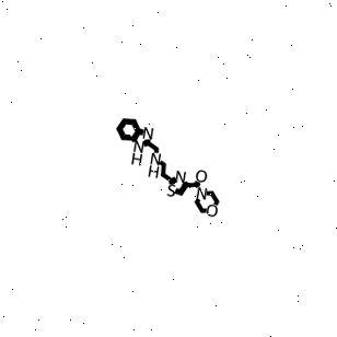 O=C(c1csc(CCNCc2nc3ccccc3[nH]2)n1)N1CCOCC1